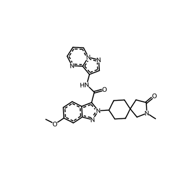 COc1ccc2c(C(=O)Nc3cnn4cccnc34)n(C3CCC4(CC3)CC(=O)N(C)C4)nc2c1